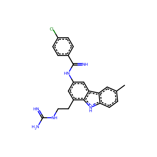 Cc1ccc2[nH]c3c(CCNC(=N)N)cc(NC(=N)c4ccc(Cl)cc4)cc3c2c1